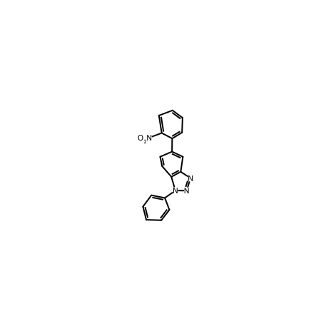 O=[N+]([O-])c1ccccc1-c1ccc2c(c1)nnn2-c1ccccc1